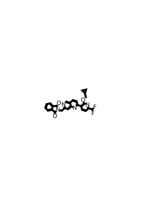 O=C1c2ccccc2C(=O)N1Cc1cc2nc(-c3ccc(C(F)F)nc3OCC3CC3)ccc2cn1